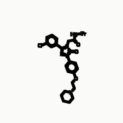 CC(C)NC(=O)Cn1c(-c2cccc(Cl)c2)nn(-c2ccc(OCCN3CCCCC3)cc2)c1=O